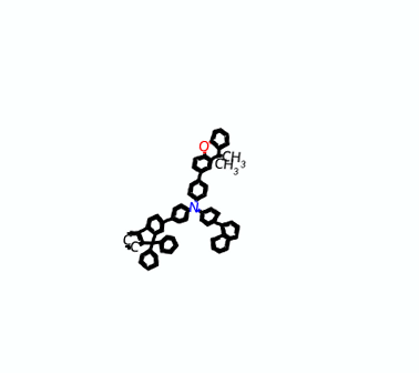 CC1(C)c2ccccc2Oc2ccc(-c3ccc(N(c4ccc(-c5ccc6c(c5)C(c5ccccc5)(c5ccccc5)c5ccccc5-6)cc4)c4ccc(-c5cccc6ccccc56)cc4)cc3)cc21